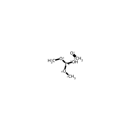 C=O.COP(O)OC